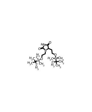 CC(C)(C)[Si](C)(C)OCCC1C(=O)NC(=O)N1CCO[Si](C)(C)C(C)(C)C